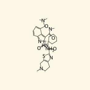 CN1CCc2nc(C(=O)NC3([C@]4(C(N)=O)N=c5cccc(C(=O)N(C)C)c5=C4C(=O)N(C)C)CCCCC3)sc2C1